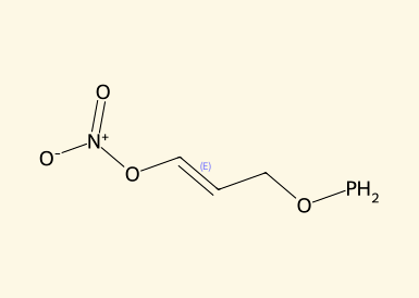 O=[N+]([O-])O/C=C/COP